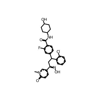 Cn1cc(/C(CC(c2ccc(C(=O)NC3CCC(O)CC3)c(F)c2)c2ccccc2Cl)=N\O)ccc1=O